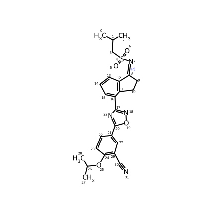 CC(C)CS(=O)(=O)/N=C1/CCc2c1cccc2-c1noc(-c2ccc(OC(C)C)c(C#N)c2)n1